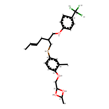 C/C=C/CC(COc1ccc(C(F)(F)F)cc1)CSc1ccc(OCC2OC(C)O2)c(C)c1